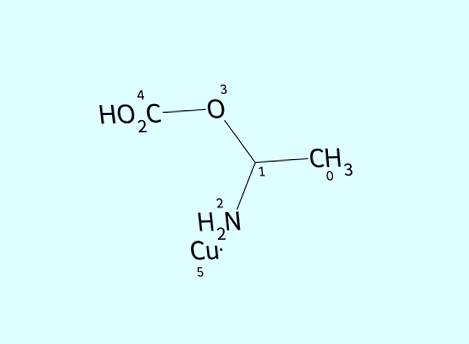 CC(N)OC(=O)O.[Cu]